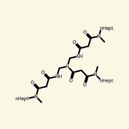 CCCCCCCN(C)C(=O)CC(=O)NCN(CNC(=O)CC(=O)N(C)CCCCCCC)C(=O)CC(=O)N(C)CCCCCCC